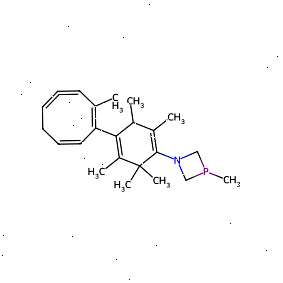 CC1=C(N2CP(C)C2)C(C)(C)C(C)=C(C2=C(\C)C=C=CC/C=C\2)C1C